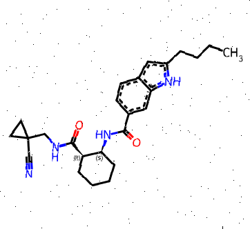 CCCCc1cc2ccc(C(=O)N[C@H]3CCCC[C@H]3C(=O)NCC3(C#N)CC3)cc2[nH]1